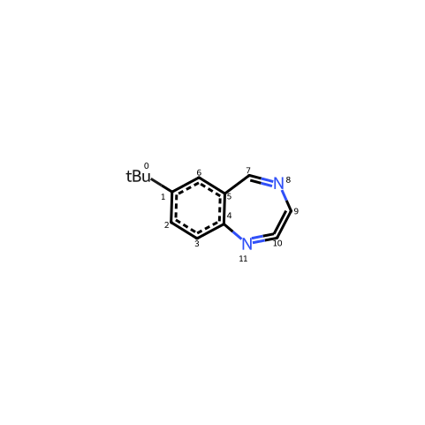 CC(C)(C)c1ccc2c(c1)C=NC=C=N2